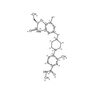 CC[C@H]1Oc2c(F)cc(CN3CCN(c4ccc(C(=O)NC)nc4C)CC3)cc2NC1=O